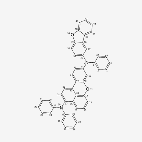 c1ccc(N(c2ccc3c(c2)Oc2cccc4c(N(c5ccccc5)c5ccccc5)ccc-3c24)c2ccc3oc4ccccc4c3c2)cc1